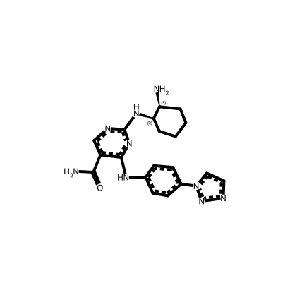 NC(=O)c1cnc(N[C@@H]2CCCC[C@@H]2N)nc1Nc1ccc(-n2ccnn2)cc1